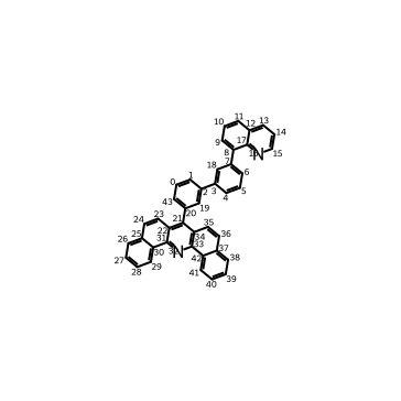 c1cc(-c2cccc(-c3cccc4cccnc34)c2)cc(-c2c3ccc4ccccc4c3nc3c2ccc2ccccc23)c1